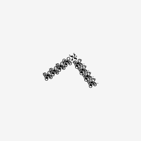 C[N+](C)(C)C.[O]=[Mo](=[O])([O-])[O-].[O]=[Mo](=[O])([O-])[O-].[O]=[Mo](=[O])([O-])[O-].[O]=[Mo](=[O])([O-])[O-].[O]=[Mo](=[O])([O-])[O-].[O]=[Mo](=[O])([O-])[O-].[O]=[Mo](=[O])([O-])[O-].[O]=[Mo](=[O])([O-])[O-]